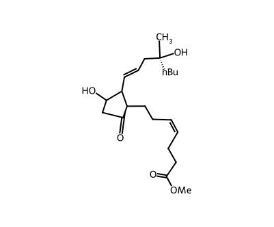 CCCC[C@](C)(O)CC=CC1C(O)CC(=O)C1CC/C=C\CCC(=O)OC